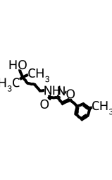 Cc1cccc(-c2cc(C(=O)NCCCC(C)(C)CO)no2)c1